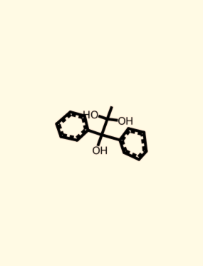 CC(O)(O)C(O)(c1ccccc1)c1ccccc1